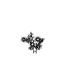 C=CC(=O)CCCc1cc(Nc2nccc(-c3cn(C)c4ccccc34)n2)c(OC)cc1N1CCC(N2CCCC2)C1